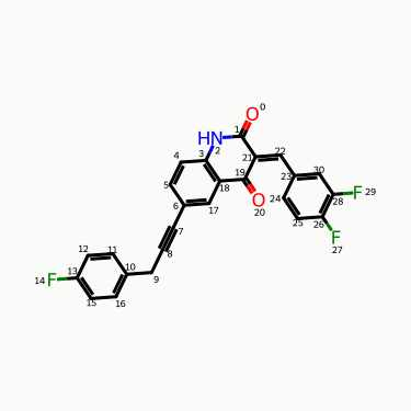 O=C1Nc2ccc(C#CCc3ccc(F)cc3)cc2C(=O)/C1=C\c1ccc(F)c(F)c1